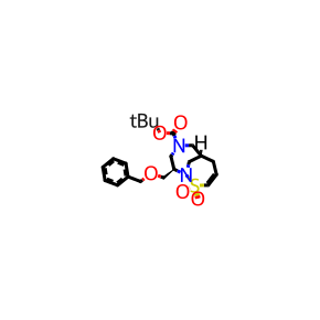 CC(C)(C)OC(=O)N1C[C@@H]2CC=CS(=O)(=O)N(C2)[C@@H](COCc2ccccc2)C1